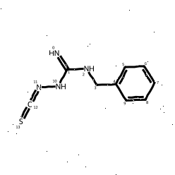 N=C(NCc1ccccc1)NN=C=S